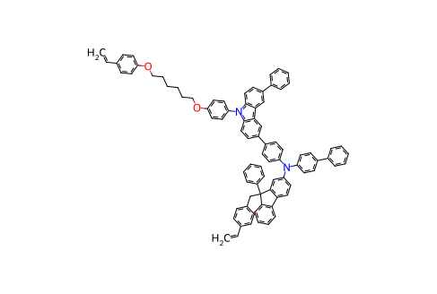 C=Cc1ccc(CC2(c3ccccc3)c3ccccc3-c3ccc(N(c4ccc(-c5ccccc5)cc4)c4ccc(-c5ccc6c(c5)c5cc(-c7ccccc7)ccc5n6-c5ccc(OCCCCCCOc6ccc(C=C)cc6)cc5)cc4)cc32)cc1